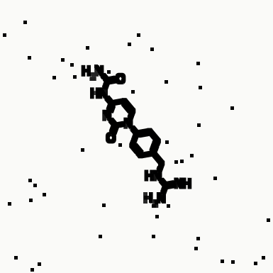 N=C(N)NCc1ccc(-n2ccc(NC(N)=O)nc2=O)cc1